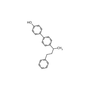 CC(CCc1ccccc1)c1ccc(-c2ccc(O)cc2)cc1